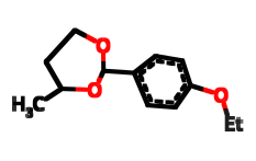 CCOc1ccc(C2OCCC(C)O2)cc1